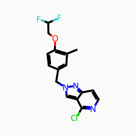 Cc1cc(Cn2cc3c(Cl)nccc3n2)ccc1OCC(F)F